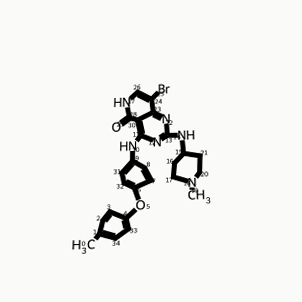 Cc1ccc(Oc2ccc(Nc3nc(NC4CCN(C)CC4)nc4c(Br)c[nH]c(=O)c34)cc2)cc1